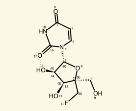 O=c1ccn([C@@H]2O[C@@](CO)(CF)[C@@H](O)[C@H]2O)c(=O)[nH]1